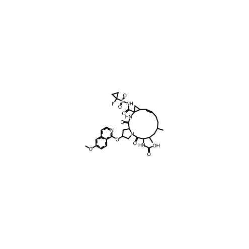 COc1ccc2c(OC3CC4C(=O)NC5(C(=O)NS(=O)(=O)C6(F)CC6)CC5C=CCCC(C)CC(C)C(NC(=O)O)C(=O)N4C3)nccc2c1